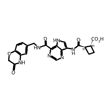 O=C1COc2ccc(CNC(=O)c3ncnc4c(NC(=O)[C@@H]5CC[C@H]5C(=O)O)c[nH]c34)cc2N1